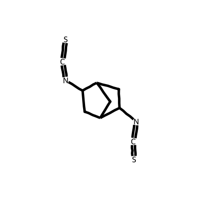 S=C=NC1CC2CC1CC2N=C=S